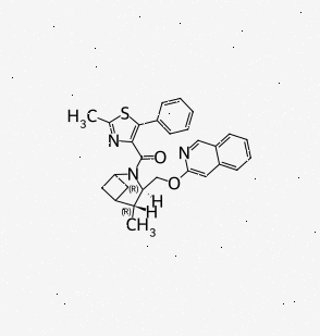 Cc1nc(C(=O)N2C3CC(C3)[C@@H](C)[C@@H]2COc2cc3ccccc3cn2)c(-c2ccccc2)s1